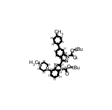 Cc1ccc(-c2ccc3c(-c4nc5c(N6CCN(C)CC6)cccc5n4C(=O)OC(C)(C)C)nn(C(=O)OC(C)(C)C)c3c2)cc1